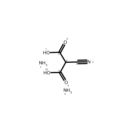 N.N.N#CC(C(=O)O)C(=O)O